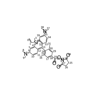 C=C[Si]1(C)C2=CC(=[N+](C)C)C=CC2=C(c2c(C)cc(C(=O)ON3C(=O)CCC3=O)cc2C)c2ccc(N(C)C)cc21